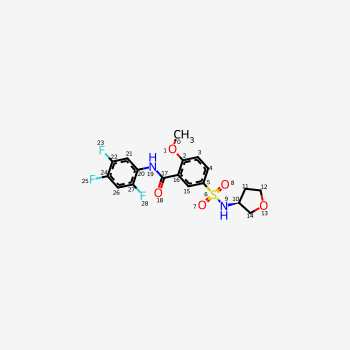 COc1ccc(S(=O)(=O)N[C@H]2CCOC2)cc1C(=O)Nc1cc(F)c(F)cc1F